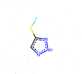 FSc1cn[nH]n1